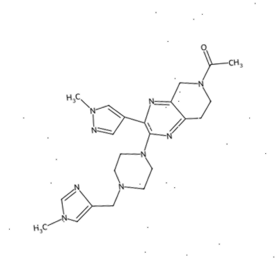 CC(=O)N1CCc2nc(N3CCN(Cc4cn(C)cn4)CC3)c(-c3cnn(C)c3)nc2C1